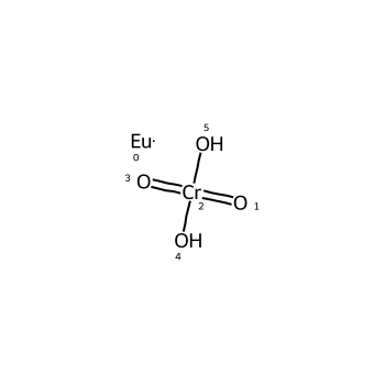 [Eu].[O]=[Cr](=[O])([OH])[OH]